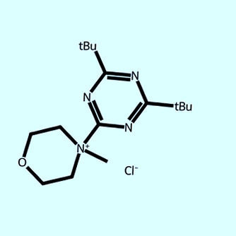 CC(C)(C)c1nc(C(C)(C)C)nc([N+]2(C)CCOCC2)n1.[Cl-]